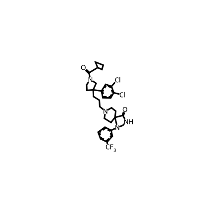 O=C(C1CCC1)N1CCC(CCCN2CCC3(CC2)C(=O)NCN3c2cccc(C(F)(F)F)c2)(c2ccc(Cl)c(Cl)c2)C1